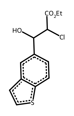 CCOC(=O)C(Cl)C(O)c1ccc2sccc2c1